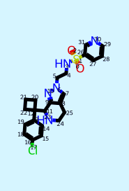 O=S(=O)(NCCn1cc2c(n1)C(C1(c3ccc(Cl)cc3)CCC1)NCC2)c1cccnc1